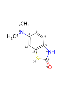 CN(C)c1ccc2[nH]c(=O)sc2c1